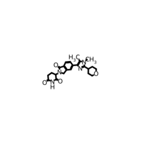 Cc1c(-c2ccc3c(c2)CN(C2CCC(=O)NC2=O)C3=O)nc(C2CCOCC2)n1C